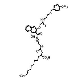 CCCCCCCCCCCCCCCCCCC(CC(=O)NCCNC(=O)c1c(OCC(=O)NCCOCc2ccc(OC)cc2)cc2ccccc2c1O)C(=O)O